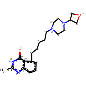 Cc1nc2cccc(CCCCCN3CCN(C4COC4)CC3)c2c(=O)[nH]1